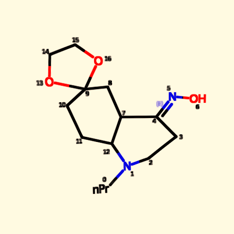 CCCN1CC/C(=N\O)C2CC3(CCC21)OCCO3